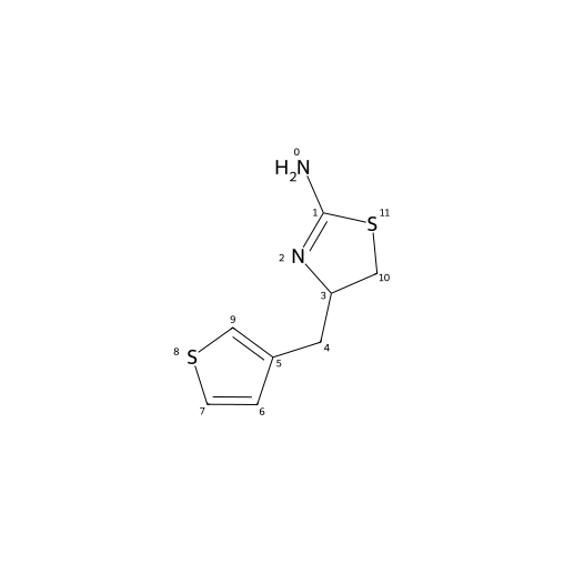 NC1=NC(Cc2ccsc2)CS1